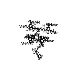 CNC(=O)c1cc(C(=O)NC)c(OC)c(C(=O)NCCN(CCNC(=O)c2cc(C(=O)NC)cc(C(=O)NC)c2OC)CCN(CCNC(=O)c2cc(C(=O)NC)cc(C(=O)NC)c2OC)CCNC(=O)c2cc(C(=O)NCCCNC(=O)OCc3ccccc3)cc(C(=O)NC)c2OC)c1